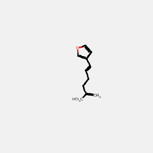 C=C(CCC=Cc1ccoc1)C(=O)O